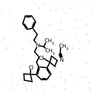 CC#N.CC(C)N(CCCc1c(C2(Cl)CCC2)cccc1C1(Cl)CCC1)CCc1ccccc1